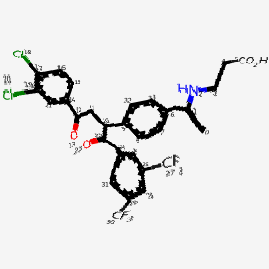 C=C(NCCC(=O)O)c1ccc(C(CC(=O)c2ccc(Cl)c(Cl)c2)C(=O)c2cc(C(F)(F)F)cc(C(F)(F)F)c2)cc1